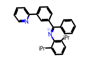 CC(C)c1cccc(C(C)C)c1/N=C(\c1ccccc1)c1cccc(-c2ccccn2)c1